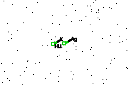 [Cl][Ag].[Cl][K].[LiH]